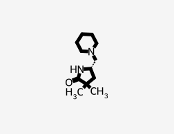 CC1(C)C[C@@H](CN2CCCCC2)NC1=O